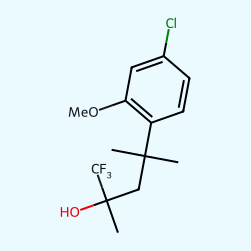 COc1cc(Cl)ccc1C(C)(C)CC(C)(O)C(F)(F)F